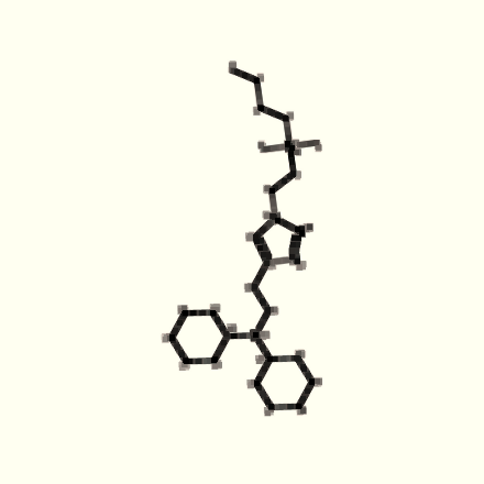 CCCC[N+](C)(C)CCn1cc(CCB(C2CCCCC2)C2CCCCC2)nn1